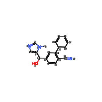 Cn1cncc1C(O)c1ccc(C#N)c(-c2ccccc2)c1